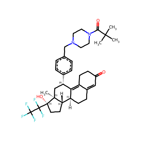 CC(C)(C)C(=O)N1CCN(Cc2ccc([C@H]3C[C@@]4(C)[C@@H](CC[C@@]4(O)C(F)(F)C(F)(F)F)[C@@H]4CCC5=CC(=O)CCC5=C43)cc2)CC1